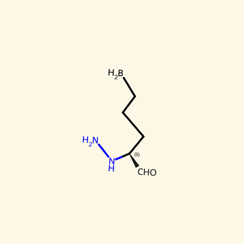 BCCC[C@@H](C=O)NN